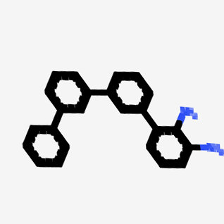 Nc1cccc(-c2cccc(-c3cccc(-c4ccccc4)c3)c2)c1N